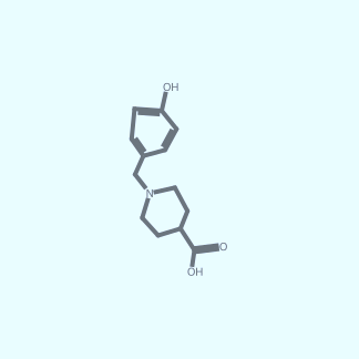 O=C(O)C1CCN(Cc2ccc(O)cc2)CC1